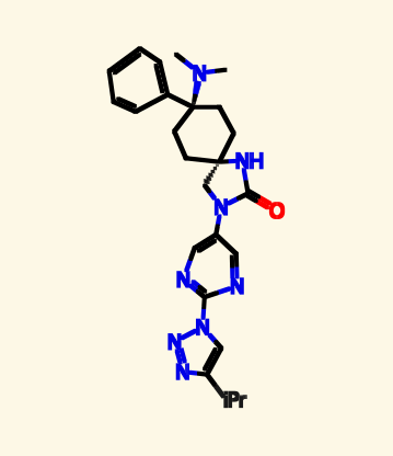 CC(C)c1cn(-c2ncc(N3C[C@]4(CC[C@](c5ccccc5)(N(C)C)CC4)NC3=O)cn2)nn1